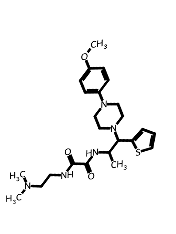 COc1ccc(N2CCN(C(c3cccs3)C(C)NC(=O)C(=O)NCCN(C)C)CC2)cc1